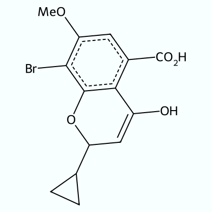 COc1cc(C(=O)O)c2c(c1Br)OC(C1CC1)C=C2O